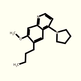 CCCCc1cc2c(N3CCCC3)ccnc2cc1OC